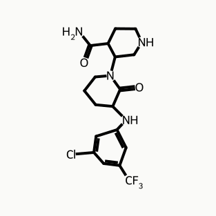 NC(=O)C1CCNCC1N1CCCC(Nc2cc(Cl)cc(C(F)(F)F)c2)C1=O